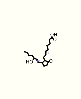 CCCCC(O)/C=C/C1CCC(=O)C1C/C=C/CCCCC(=O)O